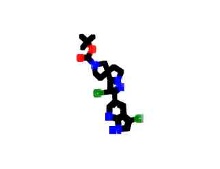 CC(C)(C)OC(=O)N1CCC2(CCn3nc(-c4cnc5[nH]cc(Cl)c5c4)c(Cl)c32)C1